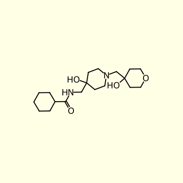 O=C(NCC1(O)CCN(CC2(O)CCOCC2)CC1)C1CCCCC1